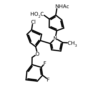 CC(=O)Nc1ccc(-n2c(C)ccc2-c2cc(Cl)ccc2OCc2cccc(F)c2F)cc1C(=O)O